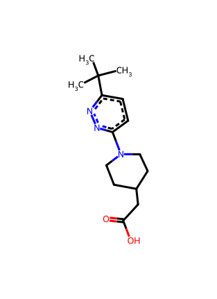 CC(C)(C)c1ccc(N2CCC(CC(=O)O)CC2)nn1